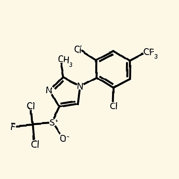 Cc1nc([S+]([O-])C(F)(Cl)Cl)cn1-c1c(Cl)cc(C(F)(F)F)cc1Cl